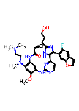 C=CC(=O)Nc1cc(Nc2nccc(-c3[nH]c(CCCO)nc3-c3cc4occc4cc3F)n2)c(OC)cc1N(C)CCN(C)C